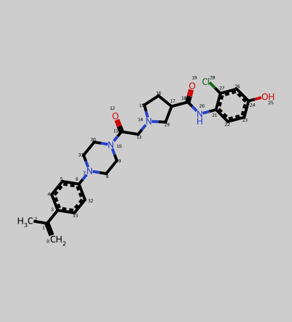 C=C(C)c1ccc(N2CCN(C(=O)CN3CCC(C(=O)Nc4ccc(O)cc4Cl)C3)CC2)cc1